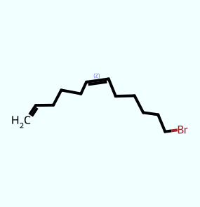 C=CCCC/C=C\CCCCCBr